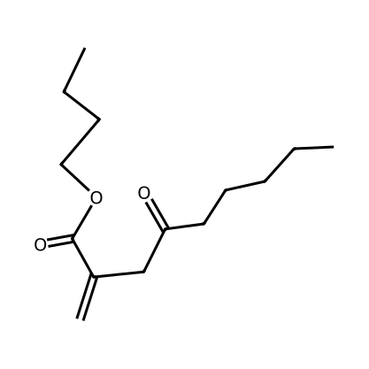 C=C(CC(=O)CCCCC)C(=O)OCCCC